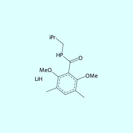 COc1c(C)cc(C)c(OC)c1C(=O)PCC(C)C.[LiH]